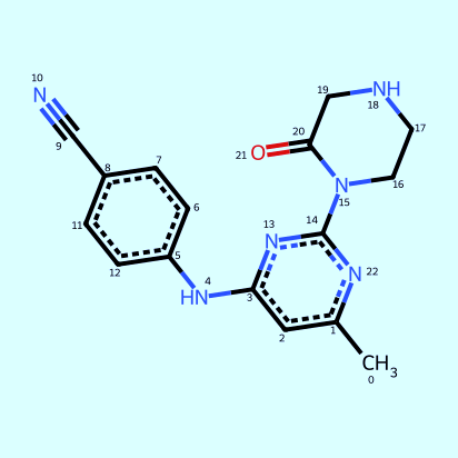 Cc1cc(Nc2ccc(C#N)cc2)nc(N2CCNCC2=O)n1